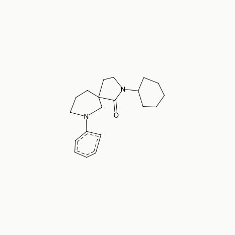 O=C1N(C2CCCCC2)CCC12CCCN(c1ccccc1)C2